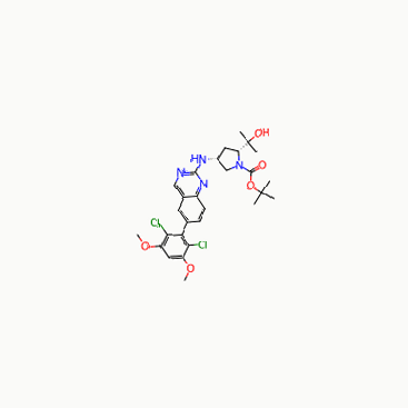 COc1cc(OC)c(Cl)c(-c2ccc3nc(N[C@@H]4C[C@H](C(C)(C)O)N(C(=O)OC(C)(C)C)C4)ncc3c2)c1Cl